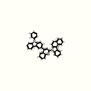 c1ccc(-n2c3ccccc3c3cc(-c4cc(-n5c6ccccc6c6c7ccccc7ccc65)nc5ccccc45)ccc32)cc1